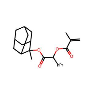 C=C(C)C(=O)OC(CCC)C(=O)OC1(C)C2CC3CC(C2)CC1C3